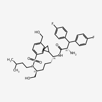 CC(C)CCN([C@H](CO)CCC[C@@H](NC(=O)[C@@H](N)C(c1ccc(F)cc1)c1ccc(F)cc1)C1CC1)S(=O)(=O)c1ccc(CO)cc1